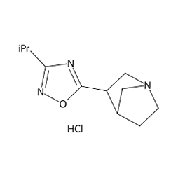 CC(C)c1noc(C2CN3CCC2C3)n1.Cl